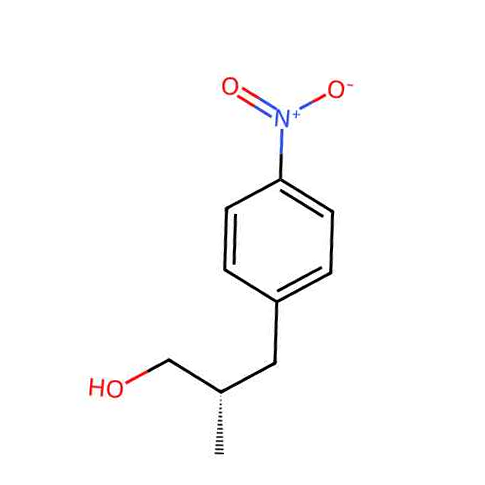 C[C@H](CO)Cc1ccc([N+](=O)[O-])cc1